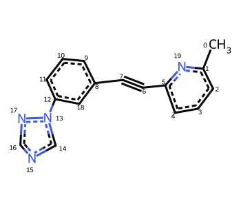 Cc1cccc(C#Cc2cccc(-n3cncn3)c2)n1